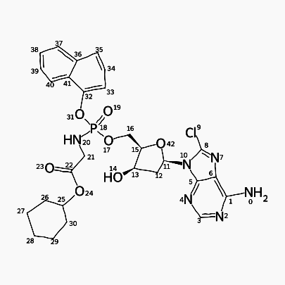 Nc1ncnc2c1nc(Cl)n2[C@H]1C[C@@H](O)[C@@H](COP(=O)(NCC(=O)OC2CCCCC2)Oc2cccc3ccccc23)O1